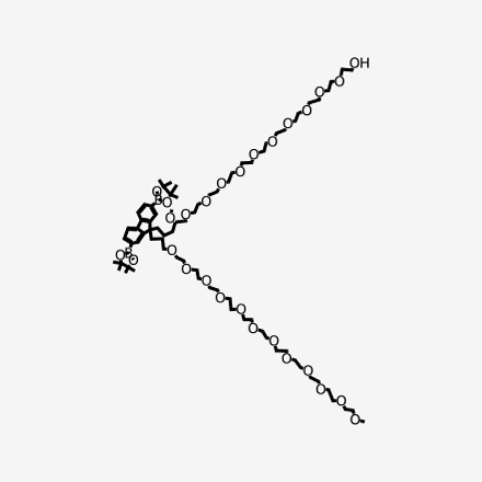 COCCOCCOCCOCCOCCOCCOCCOCCOCCOCCOCCOCCCC1(CCCC(COCCOCCOCCOCCOCCOCCOCCOCCOCCOCCO)OC)c2cc(B3OC(C)(C)C(C)(C)O3)ccc2-c2ccc(B3OC(C)(C)C(C)(C)O3)cc21